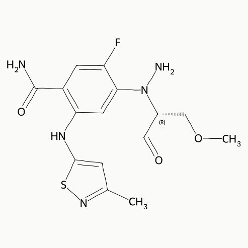 COC[C@H](C=O)N(N)c1cc(Nc2cc(C)ns2)c(C(N)=O)cc1F